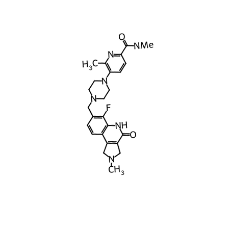 CNC(=O)c1ccc(N2CCN(Cc3ccc4c5c(c(=O)[nH]c4c3F)CN(C)C5)CC2)c(C)n1